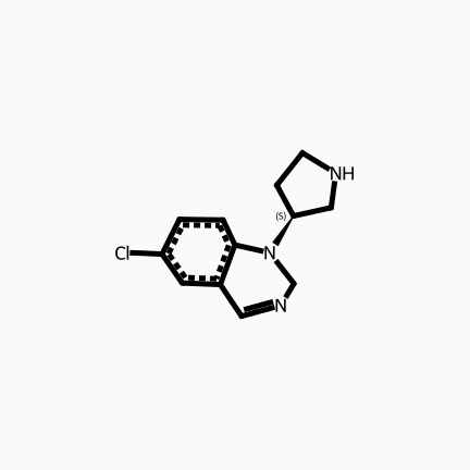 Clc1ccc2c(c1)C=NCN2[C@H]1CCNC1